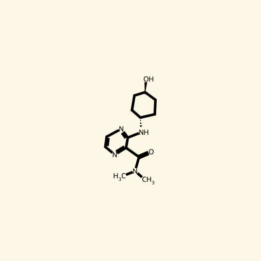 CN(C)C(=O)c1nccnc1N[C@H]1CC[C@H](O)CC1